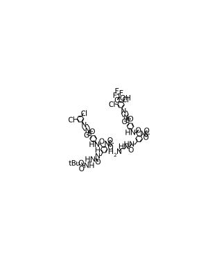 CN(c1ccc(CNC(=O)NCCN)cc1C(=O)Nc1ccc(S(=O)(=O)N2CCN(c3cc(Cl)cc(Cl)c3)CC2)cc1)S(C)(=O)=O.CN(c1ccc(CNC(=O)NCCNC(=O)OC(C)(C)C)cc1C(=O)Nc1ccc(S(=O)(=O)N2CCN(c3cc(Cl)cc(Cl)c3)CC2)cc1)S(C)(=O)=O.O=C(O)C(F)(F)F